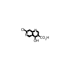 O=C(O)c1cnc2cc(Cl)ncc2c1O